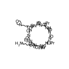 CC[C@@H]1NC(=O)[C@@H]2[C@@H]([C@H](C)CCCCCN)ON2C(=O)[C@H](C(C)C)N(C)C(=O)[C@H](CC(C)C)N(C)C(=O)[C@H](CC(C)C)N(C)C(=O)[C@@H](C)NC(=O)[C@H](C)NC(=O)[C@H](CC(C)C)N(C)C(=O)[C@H](C(C)C)NC(=O)[C@H]([C@@H](C)OCCCCN2CCOCC2)N(C)C(=O)[C@@H](C)N(C)C1=O